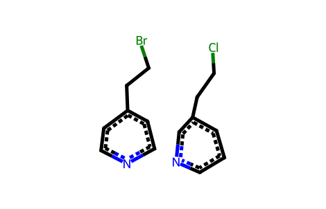 BrCCc1ccncc1.ClCCc1cccnc1